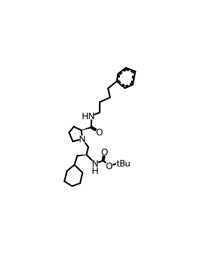 CC(C)(C)OC(=O)N[C@@H](CC1CCCCC1)CN1CCC[C@H]1C(=O)NCCCCc1ccccc1